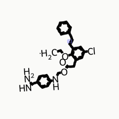 [CH2]COc1c(/C=C/c2ccccc2)cc(Cl)cc1CC(=O)OCNc1ccc(C(=N)N)cc1